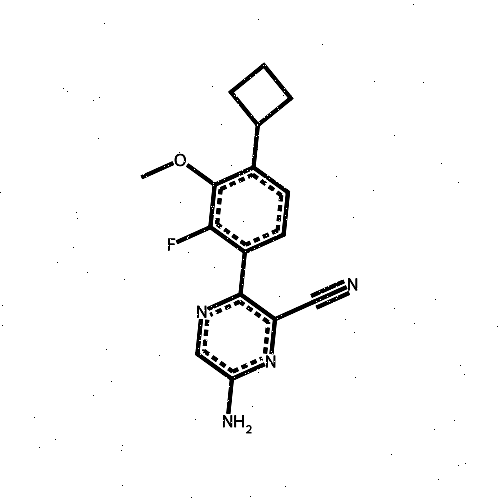 COc1c(C2CCC2)ccc(-c2ncc(N)nc2C#N)c1F